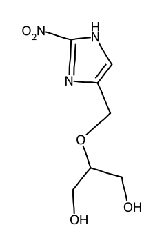 O=[N+]([O-])c1nc(COC(CO)CO)c[nH]1